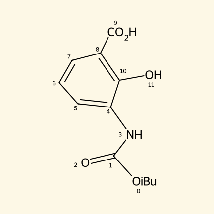 CC(C)COC(=O)Nc1cccc(C(=O)O)c1O